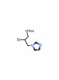 CCCCCCCC(CC)Cn1ccnc1